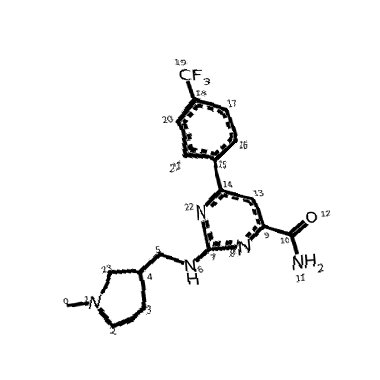 CN1CCC(CNc2nc(C(N)=O)cc(-c3ccc(C(F)(F)F)cc3)n2)C1